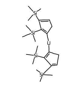 C[Si](C)(C)C1=CC[C]([U][C]2=C([Si](C)(C)C)C([Si](C)(C)C)=CC2)=C1[Si](C)(C)C